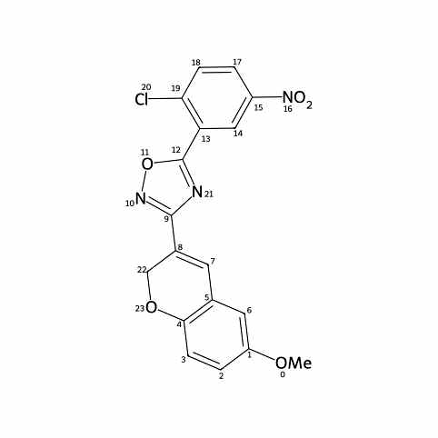 COc1ccc2c(c1)C=C(c1noc(-c3cc([N+](=O)[O-])ccc3Cl)n1)CO2